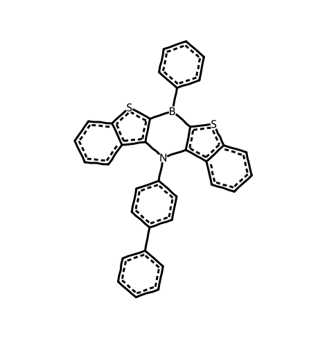 c1ccc(B2c3sc4ccccc4c3N(c3ccc(-c4ccccc4)cc3)c3c2sc2ccccc32)cc1